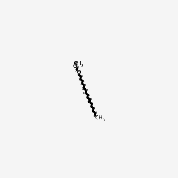 CCCCCCCCCCCCCCCCCCCCOCCOC